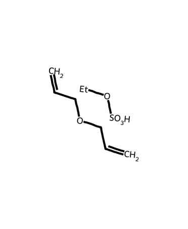 C=CCOCC=C.CCOS(=O)(=O)O